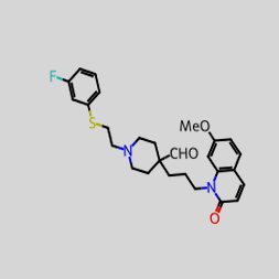 COc1ccc2ccc(=O)n(CCCC3(C=O)CCN(CCSc4cccc(F)c4)CC3)c2c1